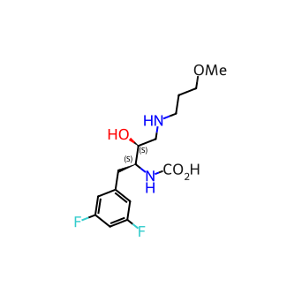 COCCCNC[C@H](O)[C@H](Cc1cc(F)cc(F)c1)NC(=O)O